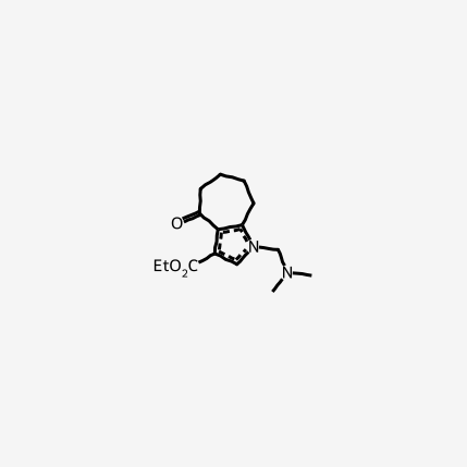 CCOC(=O)c1cn(CN(C)C)c2c1C(=O)CCCC2